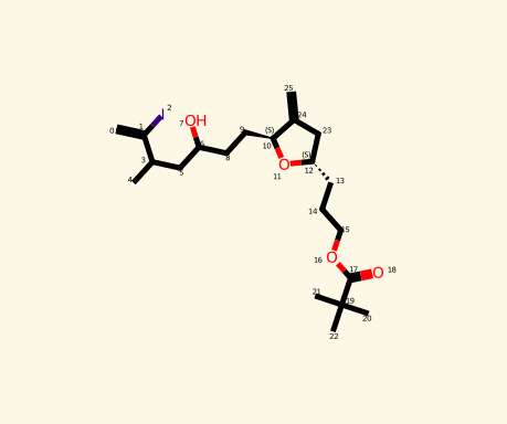 C=C(I)C(C)CC(O)CC[C@@H]1O[C@@H](CCCOC(=O)C(C)(C)C)CC1=C